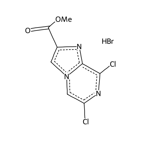 Br.COC(=O)c1cn2cc(Cl)nc(Cl)c2n1